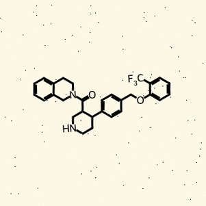 O=C(C1CNCCC1c1ccc(COc2ccccc2C(F)(F)F)cc1)N1CCc2ccccc2C1